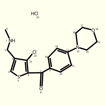 CNCc1csc(C(=O)c2ccc(N3CCOCC3)cc2)c1Cl.Cl